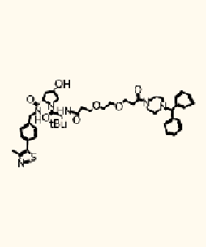 Cc1ncsc1-c1ccc(CNC(=O)[C@@H]2C[C@H](O)CN2C(=O)[C@@H](NC(=O)CCOCCOCCC(=O)N2CCN(C(c3ccccc3)c3ccccc3)CC2)C(C)(C)C)cc1